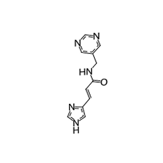 O=C(C=Cc1c[nH]cn1)NCc1cncnc1